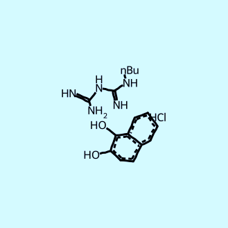 CCCCNC(=N)NC(=N)N.Cl.Oc1ccc2ccccc2c1O